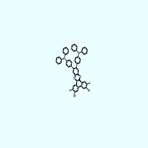 Brc1cc2c3cc(Br)c(I)cc3c3nc4cc(-c5ccc(N(c6ccccc6)c6ccccc6)cc5)c(-c5ccc(N(c6ccccc6)c6ccccc6)cc5)cc4nc3c2cc1I